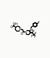 O=C(O)C1CCCN(CC(=O)N2CCc3c(C(F)(F)F)nn(Cc4ccc(F)cc4)c3C2)CC1